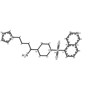 NC(CCCn1ccnc1)C1CCN(S(=O)(=O)c2cccc3cnccc23)CC1